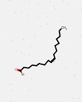 CCCCCCCC/C=C\CCCCCCCC(=O)Br